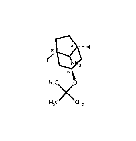 CC(C)(C)O[C@H]1C[C@H]2CC[C@@H](C1)C2N